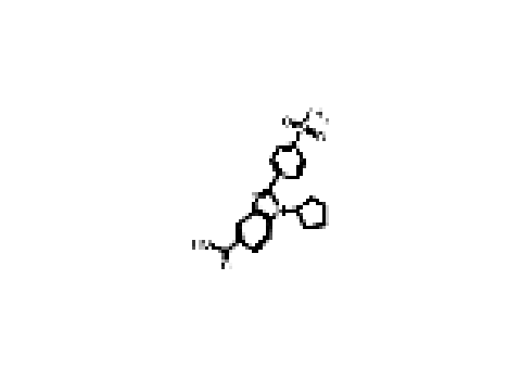 CS(=O)(=O)c1ccc(-c2nc3cc(C(=O)O)ccc3n2C2CCCC2)cc1